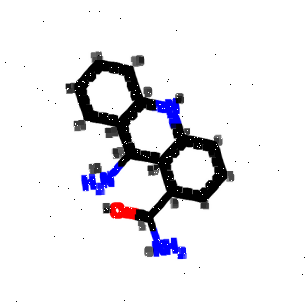 NC(=O)c1cccc2nc3ccccc3c(N)c12